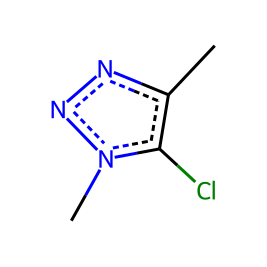 Cc1nnn(C)c1Cl